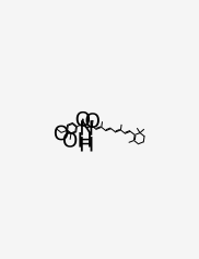 COc1ccc(C(=O)NC(=O)/C=C(C)/C=C/C=C(C)/C=C/C2=C(C)CCCC2(C)C)cc1O